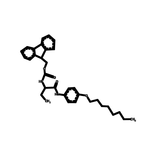 CCCCCCCCOc1ccc(NC(=O)C(CC)NC(=O)OCC2c3ccccc3-c3ccccc32)cc1